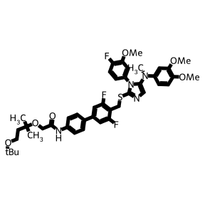 COc1cc(-n2c(N(C)c3ccc(OC)c(OC)c3)cnc2SCc2c(F)cc(-c3ccc(NC(=O)COC(C)(C)CCOC(C)(C)C)cc3)cc2F)ccc1F